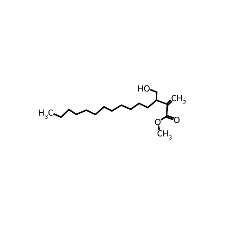 C=C(C(=O)OC)C(CO)CCCCCCCCCCCC